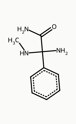 CNC(N)(C(N)=O)c1ccccc1